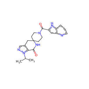 CC(C)n1ncc2c1C(=O)NC1(CCN(C(=O)c3cc4ncccc4[nH]3)CC1)C2